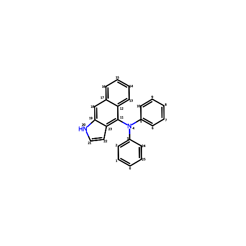 c1ccc(N(c2ccccc2)c2c3ccccc3cc3[nH]ccc23)cc1